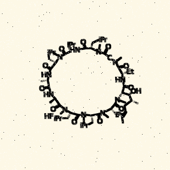 CC=CC[C@@H](C)[C@@H](O)[C@H]1C(=O)N[C@@H](CC)C(=O)N(C)CC(=O)N(C)[C@@H](CC(C)C)C(=O)N[C@@H](C(C)C)C(=O)N(C)[C@@H](CC(C)C)C(=O)N[C@@H](C)C(=O)N[C@H](C)C(=O)N(C)[C@@H](CC(C)C)C(=O)N(C)[C@@H](CC(C)C)C(=O)N(C)[C@@H](C(C)C)C(=O)N1C.F